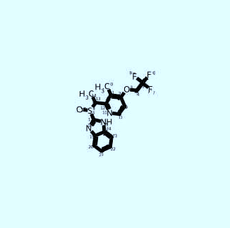 Cc1c(OCC(F)(F)F)ccnc1C(C)[S+]([O-])c1nc2ccccc2[nH]1